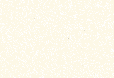 COC(=O)c1cccc2c1nc(N)n1nc(C3=CN(C)NC3)nc21